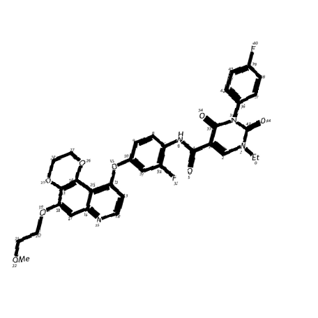 CCn1cc(C(=O)Nc2ccc(Oc3ccnc4cc(OCCOC)c5c(c34)OCCO5)cc2F)c(=O)n(-c2ccc(F)cc2)c1=O